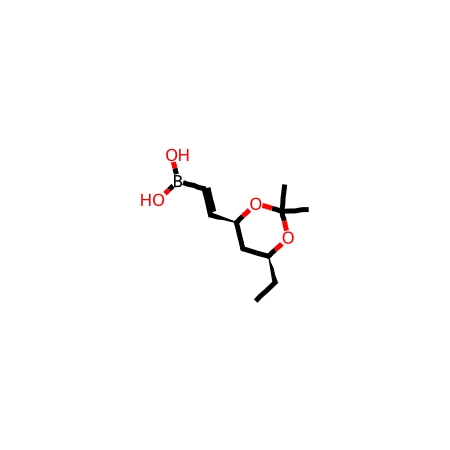 CC[C@H]1C[C@@H](/C=C/B(O)O)OC(C)(C)O1